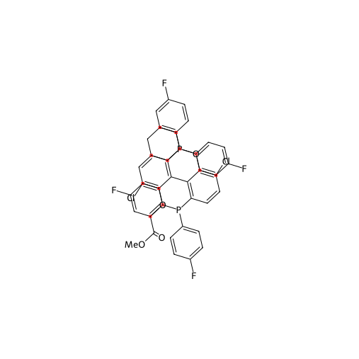 COC(=O)COc1c(Cl)ccc(P(c2ccc(F)cc2)c2ccc(F)cc2)c1-c1c(P(c2ccc(F)cc2)c2ccc(F)cc2)ccc(Cl)c1OC1CCCCC1